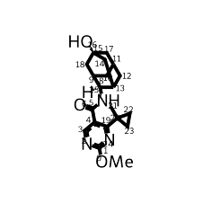 COc1ncc(C(=O)N[C@H]2C3CC4CC2C[C@@](O)(C4)C3)c(C2(C)CC2)n1